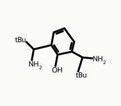 CC(C)(C)C(N)c1cccc(C(N)C(C)(C)C)c1O